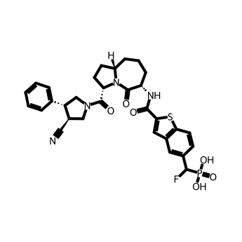 N#C[C@@H]1CN(C(=O)[C@@H]2CC[C@@H]3CCC[C@H](NC(=O)c4cc5cc(C(F)P(=O)(O)O)ccc5s4)C(=O)N32)C[C@H]1c1ccccc1